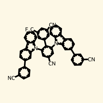 N#Cc1cccc(-c2ccc3c4ccccc4n(-c4cc(C#N)cc(-n5c6ccccc6c6ccc(-c7cccc(C#N)c7)cc65)c4-c4cc(C#N)cc(C(F)(F)F)c4)c3c2)c1